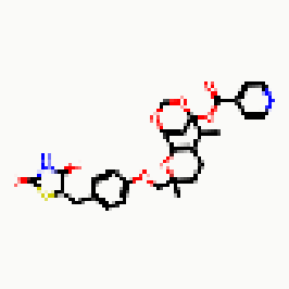 CC1C2=C(OC(C)(COc3ccc(CC4SC(=O)NC4=O)cc3)CC2)C2=CC1(OC(=O)c1ccncc1)OCO2